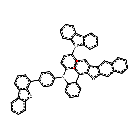 c1ccc(N(c2ccc(-c3cccc4c3oc3ccccc34)cc2)c2ccc(-n3c4ccccc4c4ccccc43)cc2)c(-c2cccc3c2oc2cc4ccccc4cc23)c1